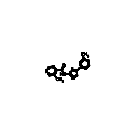 Cc1cccc(-c2cnc(NC(=O)c3ccncc3C)s2)c1